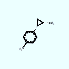 C[C@H]1C[C@H]1c1ccc(N)cc1